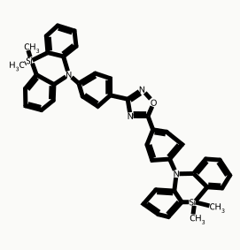 C[Si]1(C)c2ccccc2N(c2ccc(-c3noc(-c4ccc(N5c6ccccc6[Si](C)(C)c6ccccc65)cc4)n3)cc2)c2ccccc21